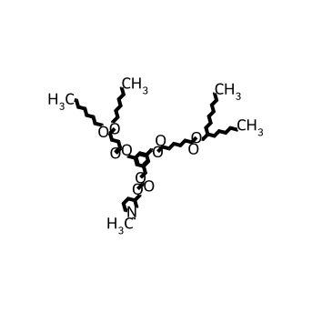 CCCCCCCCOC(CCC(=O)OCc1cc(COC(=O)CCCCC(=O)OCC(CCCCCC)CCCCCCCC)cc(COC(=O)OCC2CCCN(CC)C2)c1)OCCCCCCCC